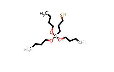 CCCCO[Si](CCCS)(OCCCC)OCCCC